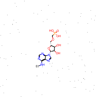 CCNc1ncnc2c1ncn2[C@@H]1O[C@H](COCP(=O)(O)O)[C@@H](O)[C@H]1O